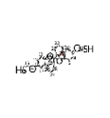 SCOc1ccc([O][Zr]([O]c2ccc(OCS)cc2)([CH]2C=CC=C2)[CH]2C=CC=C2)cc1